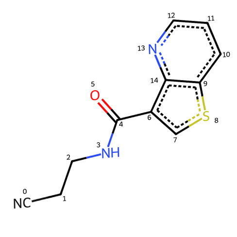 N#CCCNC(=O)c1csc2cccnc12